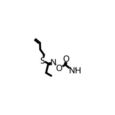 C=CCCSC(CC)=NOC(=O)NC